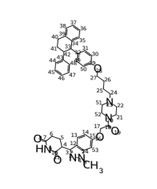 Cn1nc(C2CCC(=O)NC2=O)c2ccc(OCC(=O)N3CCN(CCCCOc4ccc(C5c6ccccc6CCC5c5ccccc5)cc4)CC3)cc21